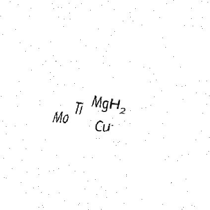 [Cu].[MgH2].[Mo].[Ti]